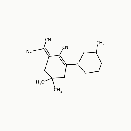 CC1CCCN(C2=C(C#N)C(=C(C#N)C#N)CC(C)(C)C2)C1